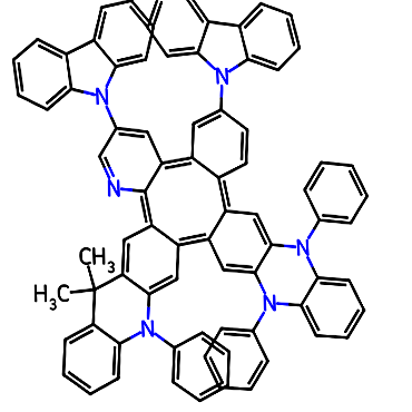 CC1(C)c2ccccc2N(c2ccccc2)c2cc3c4cc5c(cc4c4ccc(-n6c7ccccc7c7ccccc76)cc4c4cc(-n6c7ccccc7c7ccccc76)cnc4c3cc21)n(-c1ccccc1)c1ccccc1n5-c1ccccc1